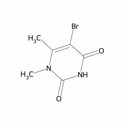 Cc1c(Br)c(=O)[nH]c(=O)n1C